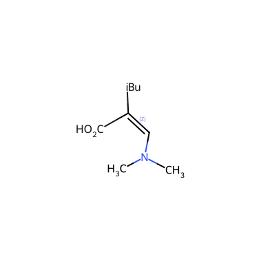 CCC(C)/C(=C/N(C)C)C(=O)O